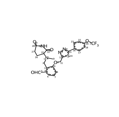 CN(Cc1c(C=O)cccc1OCc1nnc(-c2ccc(OC(F)(F)F)cc2)s1)C1CCC(=O)NC1=O